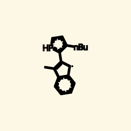 CCCCc1cc[pH]c1C1=C(C)c2ccccc2[CH]1